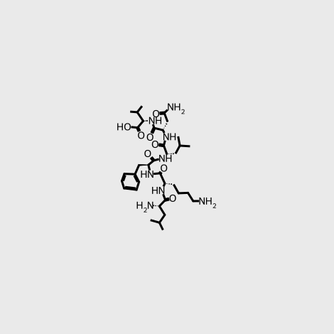 CC(C)C[C@H](NC(=O)[C@H](Cc1ccccc1)NC(=O)[C@H](CCCCN)NC(=O)[C@@H](N)CC(C)C)C(=O)N[C@@H](CC(N)=O)C(=O)N[C@H](C(=O)O)C(C)C